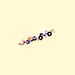 CC(C)(C)OC(=O)N1CCC(N(Cc2cc(Oc3ccc4c(ccn4C(=O)Nc4cccc(C(F)(F)F)c4)c3)ncn2)S(C)(=O)=O)C1